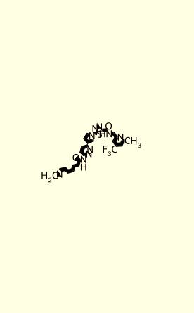 C=N/C=C\C=C/CCC(=O)Nc1ccc([C@@H]2CCN(c3nnc(C(=O)NCc4cc(C(F)(F)F)cc(C)n4)s3)C2)nn1